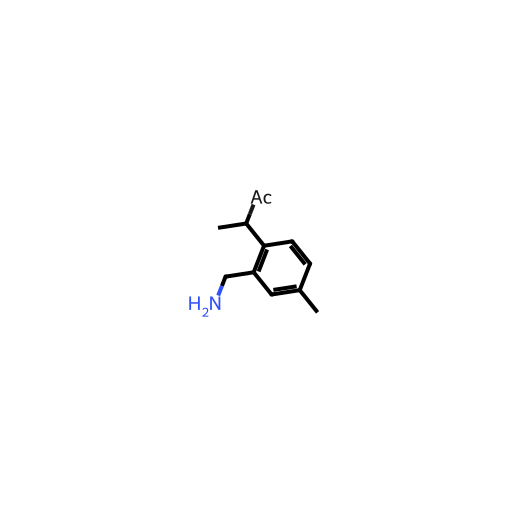 CC(=O)C(C)c1ccc(C)cc1CN